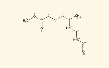 COC(=O)CCCC(C)NCNC=O